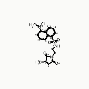 BC1=CC(=O)N(CCNS(=O)(=O)c2cccc3c(N(C)C)cccc23)C1=O